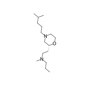 CCCN(C)CC[C@@H]1CN(CCCC(C)C)CCO1